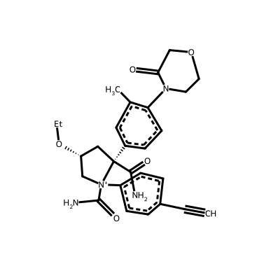 C#Cc1ccc([N+]2(C(N)=O)C[C@H](OCC)C[C@]2(C(N)=O)c2ccc(N3CCOCC3=O)c(C)c2)cc1